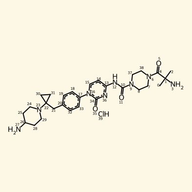 CC(C)(N)C(=O)N1CCN(C(=O)Nc2ccn(-c3ccc(CC4(N5CCC(N)CC5)CC4)cc3)c(=O)n2)CC1.Cl